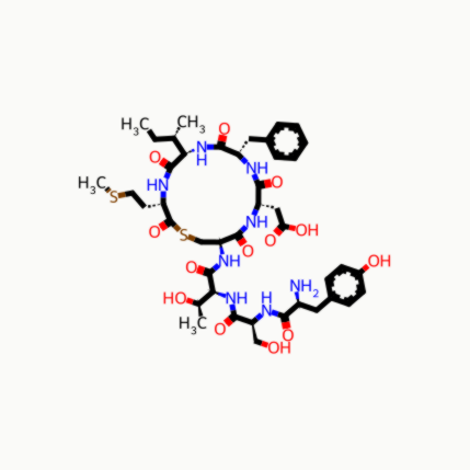 CC[C@H](C)[C@@H]1NC(=O)[C@H](Cc2ccccc2)NC(=O)[C@H](CC(=O)O)NC(=O)[C@@H](NC(=O)[C@@H](NC(=O)[C@H](CO)NC(=O)[C@@H](N)Cc2ccc(O)cc2)[C@@H](C)O)CSC(=O)[C@H](CCSC)NC1=O